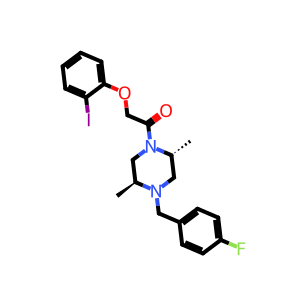 C[C@@H]1CN(Cc2ccc(F)cc2)[C@@H](C)CN1C(=O)COc1ccccc1I